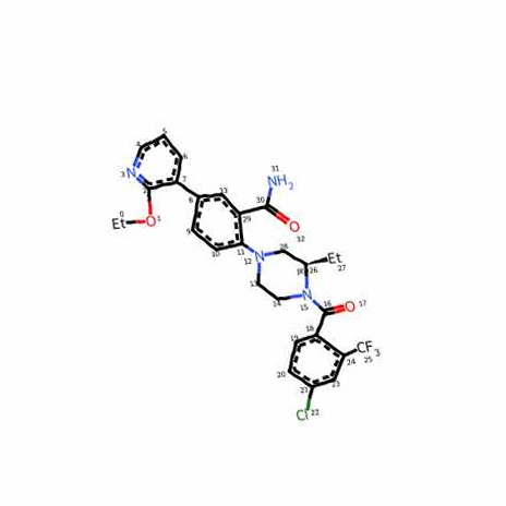 CCOc1ncccc1-c1ccc(N2CCN(C(=O)c3ccc(Cl)cc3C(F)(F)F)[C@H](CC)C2)c(C(N)=O)c1